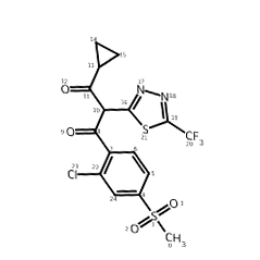 CS(=O)(=O)c1ccc(C(=O)C(C(=O)C2CC2)c2nnc(C(F)(F)F)s2)c(Cl)c1